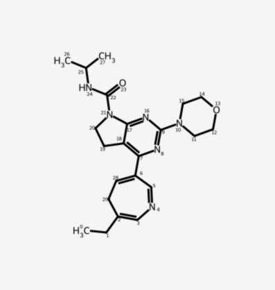 CCC1=CN=CC(c2nc(N3CCOCC3)nc3c2CCN3C(=O)NC(C)C)=CC1